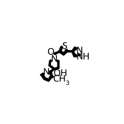 Cc1cccnc1C1(O)CCN(C(=O)c2csc(-c3cn[nH]c3)c2)CC1